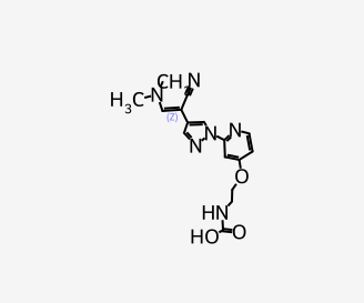 CN(C)/C=C(\C#N)c1cnn(-c2cc(OCCNC(=O)O)ccn2)c1